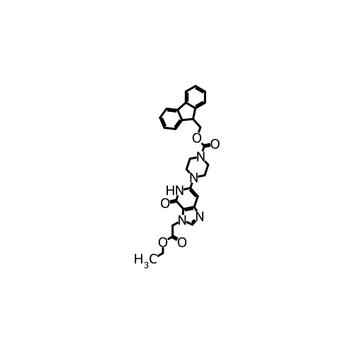 CCOC(=O)Cn1cnc2cc(N3CCN(C(=O)OCC4c5ccccc5-c5ccccc54)CC3)[nH]c(=O)c21